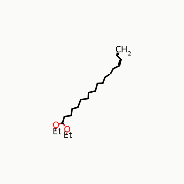 C=C/C=C\CCCCCCCCCCCCCC(OCC)OCC